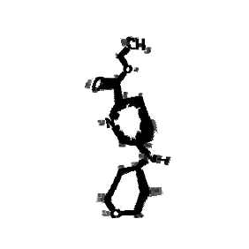 CCOC(=O)c1ccc(NC2CCOCC2)cn1